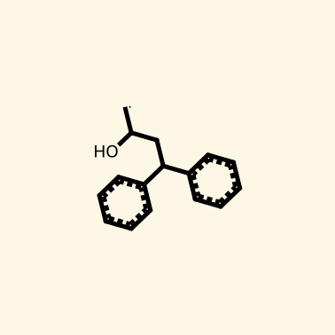 [CH2]C(O)CC(c1ccccc1)c1ccccc1